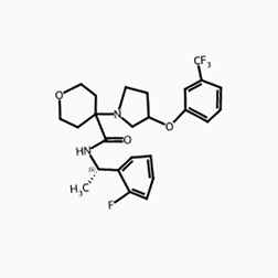 C[C@H](NC(=O)C1(N2CCC(Oc3cccc(C(F)(F)F)c3)C2)CCOCC1)c1ccccc1F